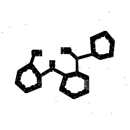 Oc1ccccc1Pc1ccccc1C(O)c1ccccc1